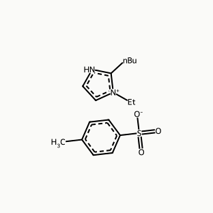 CCCCc1[nH]cc[n+]1CC.Cc1ccc(S(=O)(=O)[O-])cc1